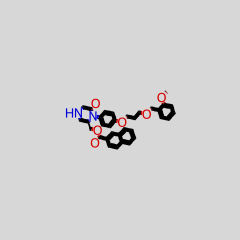 COc1ccccc1COCCCOc1ccc(N2C(=O)CNC[C@@H]2COC(=O)c2ccc3ccccc3c2)cc1